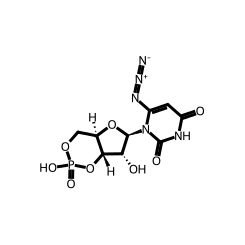 [N-]=[N+]=Nc1cc(=O)[nH]c(=O)n1[C@@H]1O[C@@H]2COP(=O)(O)O[C@H]2[C@H]1O